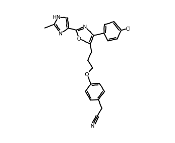 Cc1nc(-c2nc(-c3ccc(Cl)cc3)c(CCCOc3ccc(CC#N)cc3)o2)c[nH]1